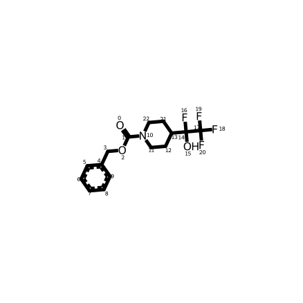 O=C(OCc1ccccc1)N1CCC(C(O)(F)C(F)(F)F)CC1